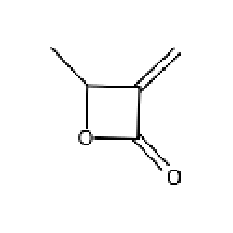 C=C1C(=O)OC1C